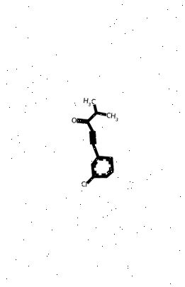 CC(C)C(=O)C#Cc1cccc(Cl)c1